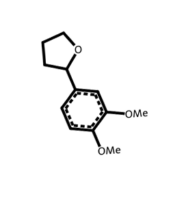 COc1ccc(C2CCCO2)cc1OC